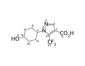 O=C(O)c1cnn(C2CCC(O)CC2)c1C(F)(F)F